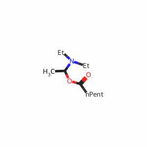 CCCCCC(=O)OC(C)N(CC)CC